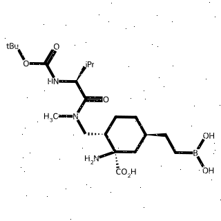 CC(C)[C@H](NC(=O)OC(C)(C)C)C(=O)N(C)C[C@@H]1CC[C@@H](CCB(O)O)C[C@]1(N)C(=O)O